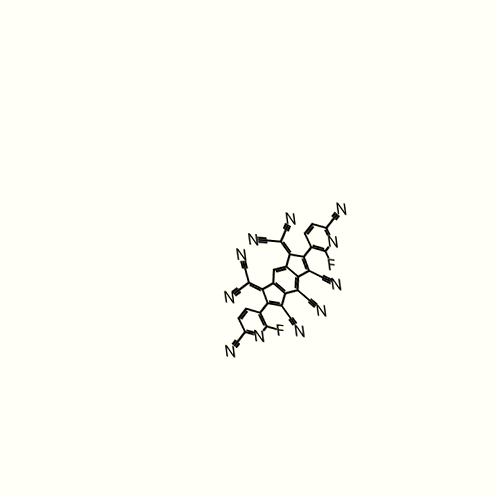 N#CC(C#N)=C1C(c2ccc(C#N)nc2F)=C(C#N)c2c1cc1c(c2C#N)C(C#N)=C(c2ccc(C#N)nc2F)C1=C(C#N)C#N